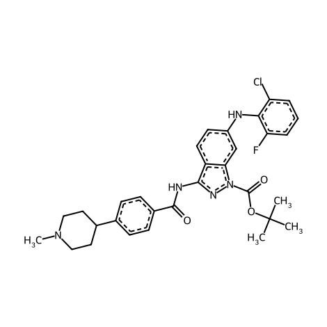 CN1CCC(c2ccc(C(=O)Nc3nn(C(=O)OC(C)(C)C)c4cc(Nc5c(F)cccc5Cl)ccc34)cc2)CC1